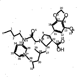 CCCCN(C(=O)CN1C[C@H](c2cc(OC)c3c(c2)OCO3)[C@@H](C(=O)O)[C@@H]1CC(C)CCC)c1ccc[n+](C)c1